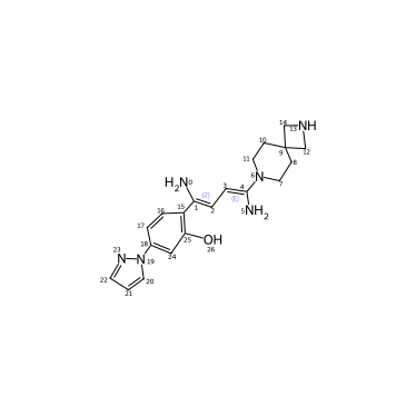 N/C(=C\C=C(/N)N1CCC2(CC1)CNC2)c1ccc(-n2cccn2)cc1O